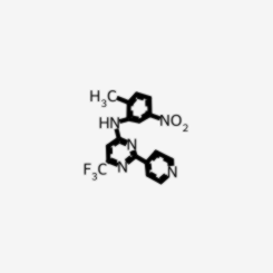 Cc1ccc([N+](=O)[O-])cc1Nc1cc(C(F)(F)F)nc(-c2ccncc2)n1